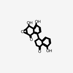 O=C1CCC(c2ccc(O)c3c2C(=O)C2OC2C3O)c2cccc(O)c21